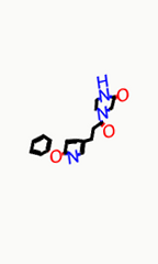 O=C1CN(C(=O)CCc2ccc(Oc3ccccc3)nc2)CCN1